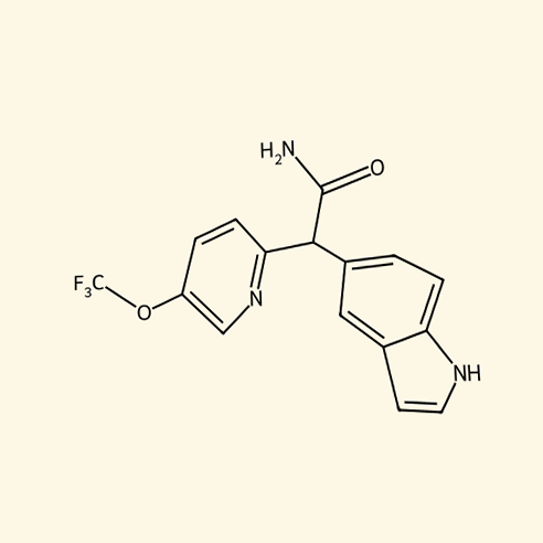 NC(=O)C(c1ccc2[nH]ccc2c1)c1ccc(OC(F)(F)F)cn1